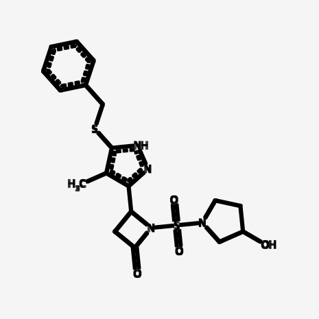 Cc1c(C2CC(=O)N2S(=O)(=O)N2CCC(O)C2)n[nH]c1SCc1ccccc1